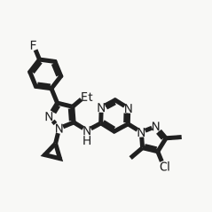 CCc1c(-c2ccc(F)cc2)nn(C2CC2)c1Nc1cc(-n2nc(C)c(Cl)c2C)ncn1